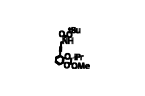 COC(=O)[C@H](Oc1ccccc1C#CCNC(=O)OC(C)(C)C)C(C)C